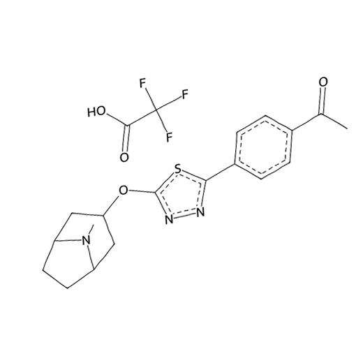 CC(=O)c1ccc(-c2nnc(OC3CC4CCC(C3)N4C)s2)cc1.O=C(O)C(F)(F)F